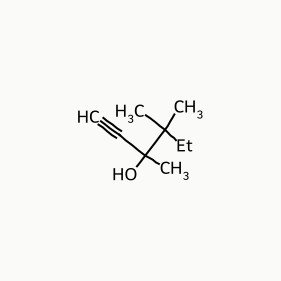 C#CC(C)(O)C(C)(C)CC